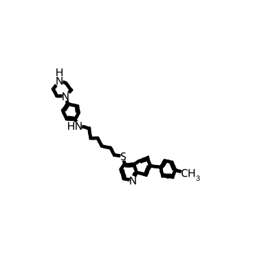 Cc1ccc(-c2ccc3c(SCCCCCCNc4ccc(N5CCNCC5)cc4)ccnc3c2)cc1